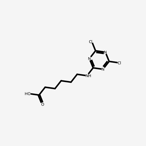 O=C(O)CCCCCNc1nc(Cl)nc(Cl)n1